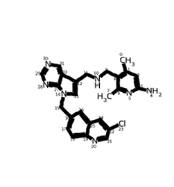 Cc1cc(N)nc(C)c1CNCc1cn(Cc2ccc3ncc(Cl)cc3c2)c2ncncc12